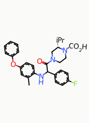 Cc1cc(Oc2ccccc2)ccc1NC(C(=O)N1CCN(C(=O)O)[C@@H](C(C)C)C1)c1ccc(F)cc1